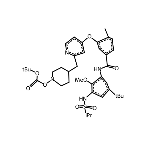 COc1c(NC(=O)c2ccc(C)c(Oc3ccnc(CC4CCN(OC(=O)OC(C)(C)C)CC4)c3)c2)cc(C(C)(C)C)cc1NS(=O)(=O)C(C)C